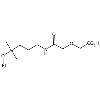 CCO[Si](C)(C)CCCNC(=O)COCC(=O)O